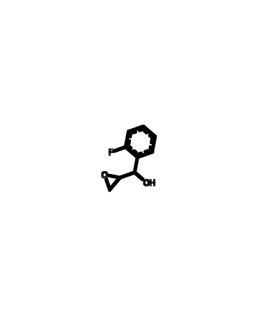 OC(c1ccccc1F)C1CO1